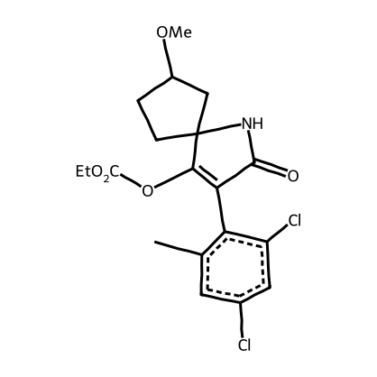 CCOC(=O)OC1=C(c2c(C)cc(Cl)cc2Cl)C(=O)NC12CCC(OC)C2